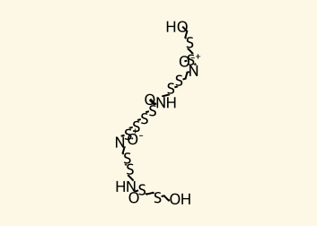 O=C(NCCSCSCC/N=C\[S+]([O-])CSCSCSC(=O)NCCSCSCC/N=C\[S+]([O-])CCSCCO)SCCSCCO